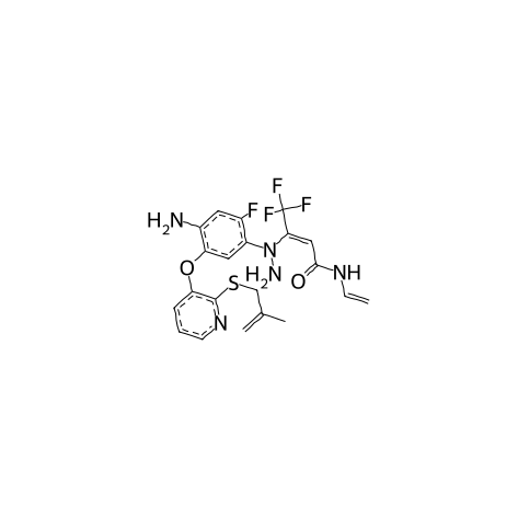 C=CNC(=O)/C=C(\N(N)c1cc(Oc2cccnc2SCC(=C)C)c(N)cc1F)C(F)(F)F